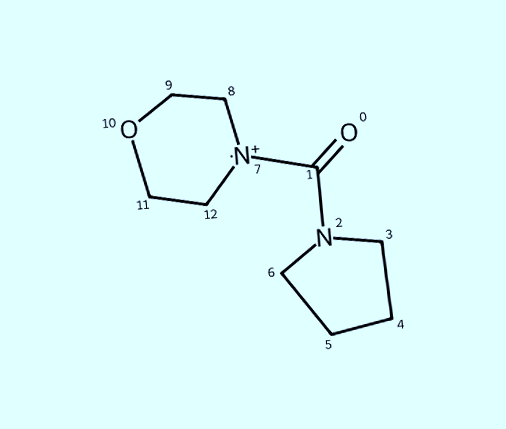 O=C(N1CCCC1)[N+]1CCOCC1